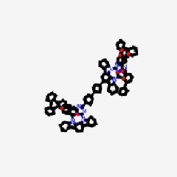 c1ccc(-c2cccc(-c3nc(-c4ccccc4)nc(-n4c5ccccc5c5cc(-c6ccc(-c7ccc(-c8nc(-c9ccccc9)nc(-n9c%10ccccc%10c%10ccc%11c%12ccccc%12n(-c%12cccc(-c%13ccc%14c%15ccccc%15c%15ccccc%15c%14c%13)c%12)c%11c%109)n8)cc7)cc6)c6c7ccccc7n(-c7cccc(-c8ccc9c%10ccccc%10c%10ccccc%10c9c8)c7)c6c54)n3)c2)cc1